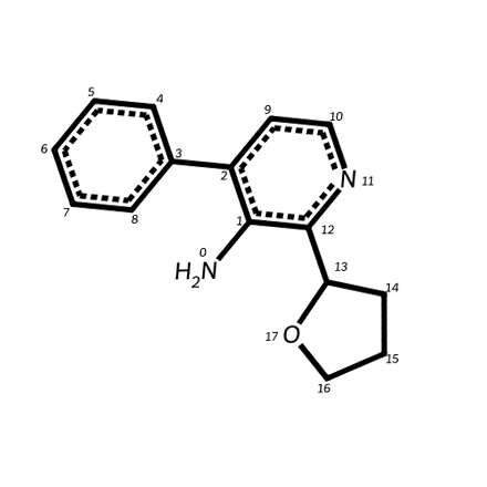 Nc1c(-c2ccccc2)ccnc1C1CCCO1